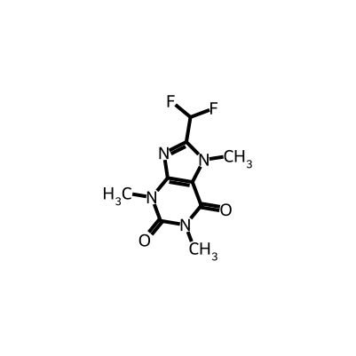 Cn1c(=O)c2c(nc(C(F)F)n2C)n(C)c1=O